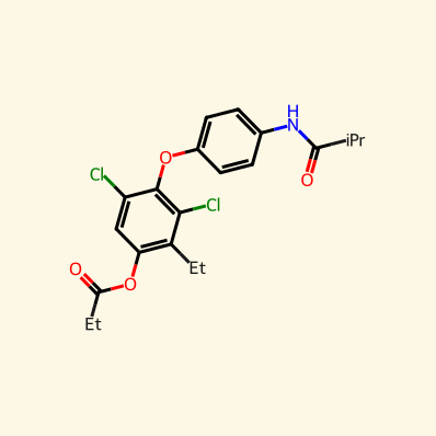 CCC(=O)Oc1cc(Cl)c(Oc2ccc(NC(=O)C(C)C)cc2)c(Cl)c1CC